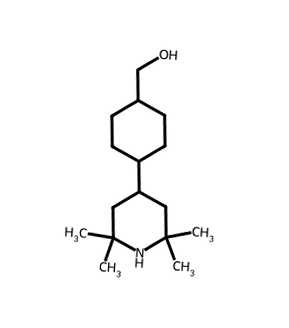 CC1(C)CC(C2CCC(CO)CC2)CC(C)(C)N1